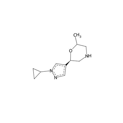 CC1CNC[C@@H](c2cnn(C3CC3)c2)O1